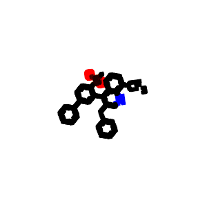 CS(=O)(=O)c1ccc(-c2ccccc2)cc1-c1c(Cc2ccccc2)cnc2c(C(F)(F)F)cccc12